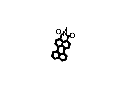 O=C1c2ccc3c4cccc5cccc(c6ccc(c2c36)C(=O)N1I)c54